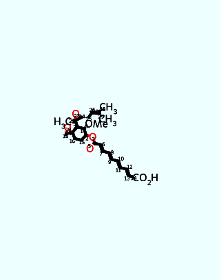 COC1C(OC(=O)/C=C/C=C/C=C/C=C/C(=O)O)CCC2(CO2)C1[C@@]1(C)O[C@@H]1CC=C(C)C